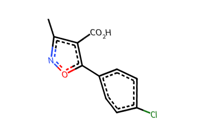 Cc1noc(-c2ccc(Cl)cc2)c1C(=O)O